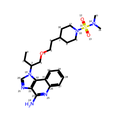 CCC(COCCC1CCN(S(=O)(=O)N(C)C)CC1)n1cnc2c(N)nc3ccccc3c21